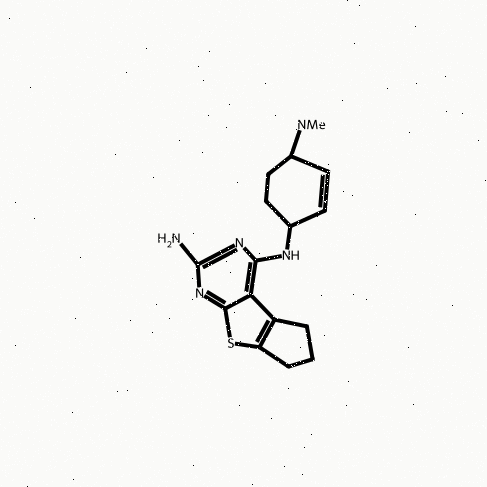 CNC1C=CC(Nc2nc(N)nc3sc4c(c23)CCC4)CC1